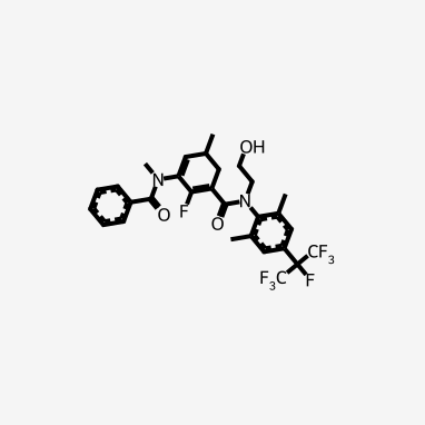 Cc1cc(C(F)(C(F)(F)F)C(F)(F)F)cc(C)c1N(CCO)C(=O)C1=C(F)C(N(C)C(=O)c2ccccc2)=CC(C)C1